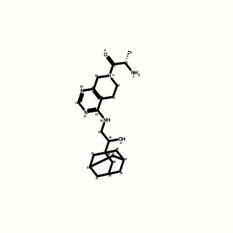 C[C@H](N)C(=O)N1CCc2c(ncnc2NCC(O)C23CC4CC(CC(C4)C2)C3)C1